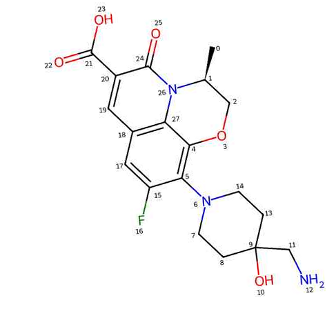 C[C@H]1COc2c(N3CCC(O)(CN)CC3)c(F)cc3cc(C(=O)O)c(=O)n1c23